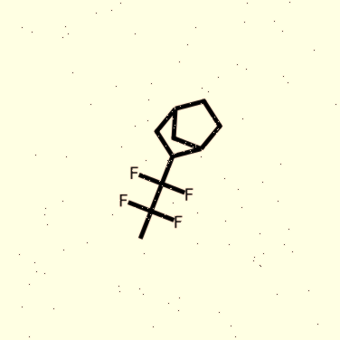 CC(F)(F)C(F)(F)C1CC2CCC1C2